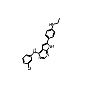 CCNc1ccc(-c2cc3c(Nc4cccc(Cl)c4)ncnc3[nH]2)cc1